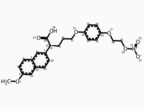 COc1ccc2cc([C@H](CCCOc3ccc(OCCO[N+](=O)[O-])cc3)C(=O)O)ccc2c1